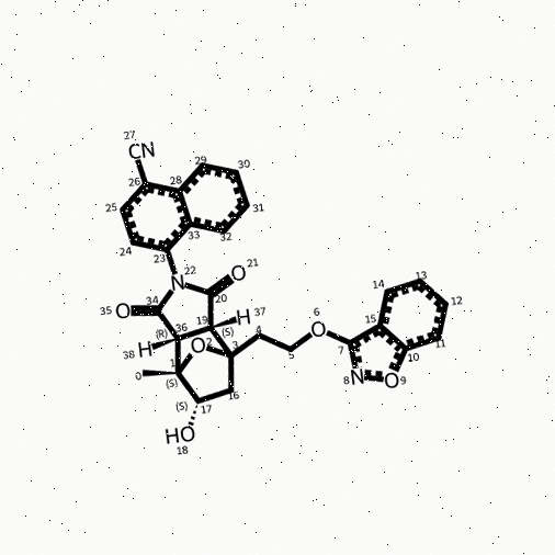 C[C@@]12OC(CCOc3noc4ccccc34)(C[C@@H]1O)[C@H]1C(=O)N(c3ccc(C#N)c4ccccc34)C(=O)[C@H]12